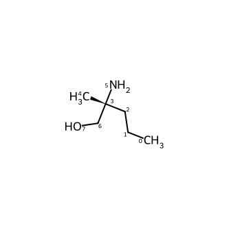 CCC[C@@](C)(N)CO